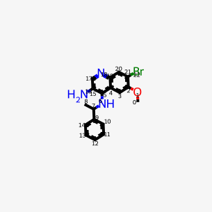 COc1cc2c(NC(C)c3ccccc3)c(N)cnc2cc1Br